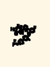 Cc1cc(C2CCN(CC(F)F)CC2)ccc1COc1ccc(F)cc1-c1cccc(-n2ncc(C(=O)O)c2C(F)(F)F)n1